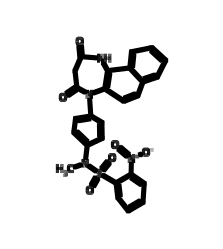 CN(c1ccc(N2C(=O)CC(=O)Nc3c2ccc2ccccc32)cc1)S(=O)(=O)c1ccccc1[N+](=O)[O-]